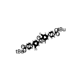 Cc1cc(N2CCN(C(=O)OC(C)(C)C)CC2)ccc1C(=O)Nc1ccc(N2CCN(C(=O)OC(C)(C)C)CC2)c(C)c1